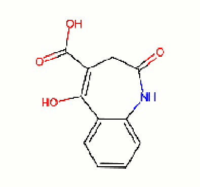 O=C1CC(C(=O)O)=C(O)c2ccccc2N1